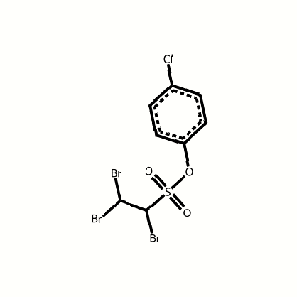 O=S(=O)(Oc1ccc(Cl)cc1)C(Br)C(Br)Br